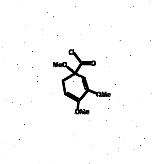 COC1=CCC(OC)(C(=O)Cl)C=C1OC